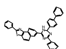 c1ccc(C2=NC(c3ccc(-c4ccccc4)cc3)NC(c3ccc4c(ccc5sc(-c6ccccc6)nc54)c3)=N2)cc1